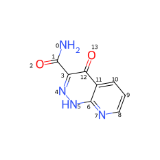 NC(=O)c1n[nH]c2ncccc2c1=O